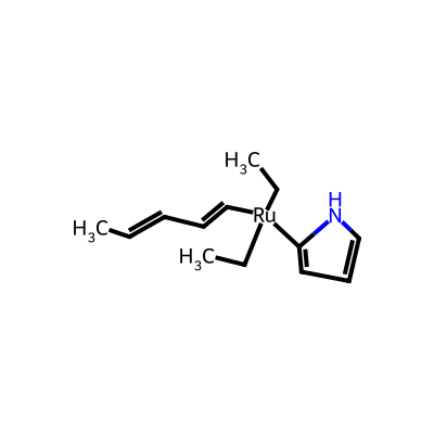 CC=CC=[CH][Ru]([CH2]C)([CH2]C)[c]1ccc[nH]1